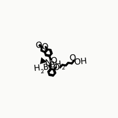 BC(B)(c1ccccc1OCCCCCC(=O)O)N(C(=O)c1ccc2c(c1)CC(=O)O2)C1CC1